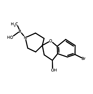 CB(O)N1CCC2(CC1)CC(O)c1cc(Br)ccc1O2